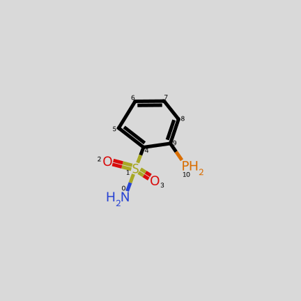 NS(=O)(=O)c1ccccc1P